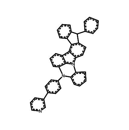 c1ccc(C2c3ccccc3-c3c2ccc2c3c3cccc4c3n2-c2ccccc2N4c2ccc(-c3cccnc3)cc2)cc1